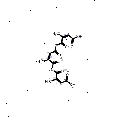 C/C(=C/C(=O)O)C(=O)OC(=O)/C=C(/C)C(=O)OC(=O)/C(C)=C\C(=O)O